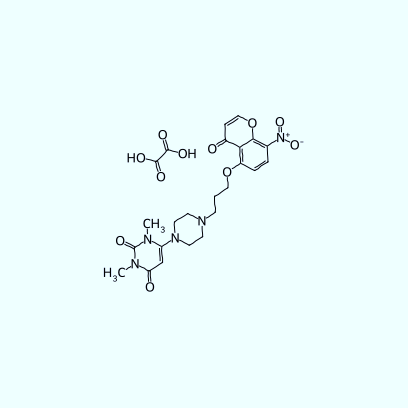 Cn1c(N2CCN(CCCOc3ccc([N+](=O)[O-])c4occc(=O)c34)CC2)cc(=O)n(C)c1=O.O=C(O)C(=O)O